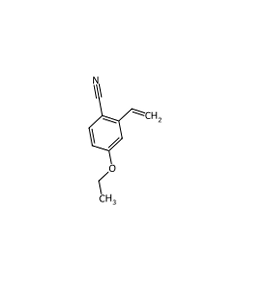 C=Cc1cc(OCC)ccc1C#N